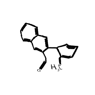 CC1=CC=CC1c1cc2ccccc2cc1C=O